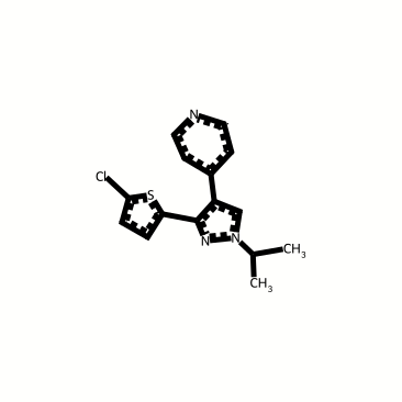 CC(C)n1cc(-c2c[c]ncc2)c(-c2ccc(Cl)s2)n1